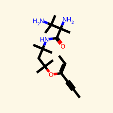 CC#CC(=CC)OC(C)(C)CC(C)(C)NC(=O)C(C)(N)C(C)(C)N